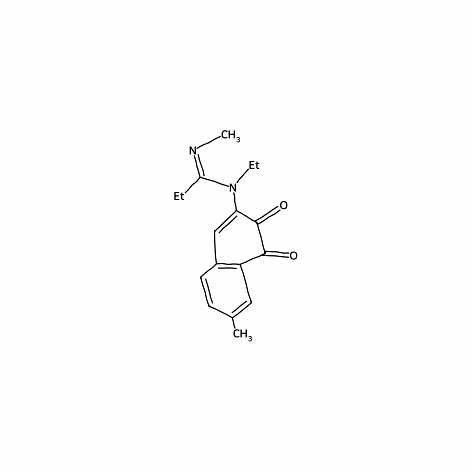 CC/C(=N/C)N(CC)C1=Cc2ccc(C)cc2C(=O)C1=O